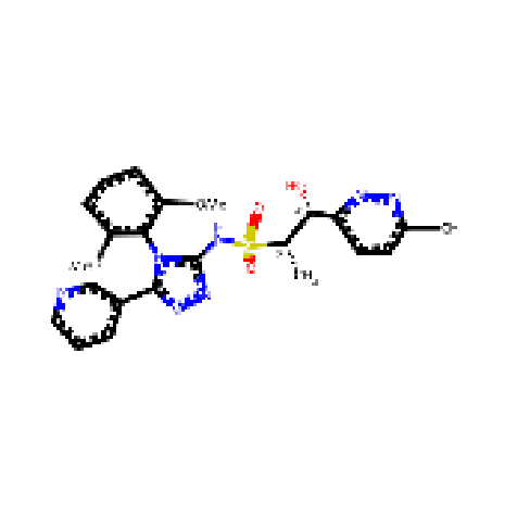 COc1cccc(OC)c1-n1c(NS(=O)(=O)[C@@H](C)[C@H](O)c2ccc(C)nn2)nnc1-c1cccnc1